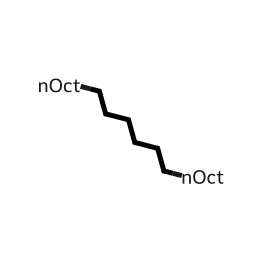 [CH2]CC[CH]CCCCCCCCCCCCCCCCCC